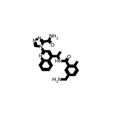 Cc1ccc(CN)cc1C(=O)NC(C)c1cc(-n2cnnc2C(N)=O)nc2ccccc12